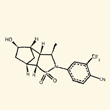 C[C@@H]1[C@H]2[C@@H]3C[C@@H](C[C@H]3O)[C@H]2S(=O)(=O)N1c1ccc(C#N)c(C(F)(F)F)c1